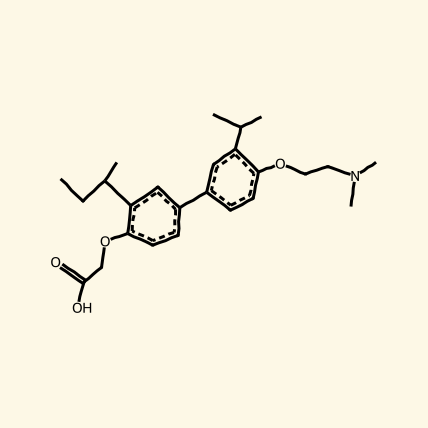 CCC(C)c1cc(-c2ccc(OCCN(C)C)c(C(C)C)c2)ccc1OCC(=O)O